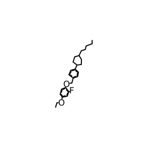 CCCCCC1CCC(c2ccc(COc3ccc(OCC)cc3F)cc2)CC1